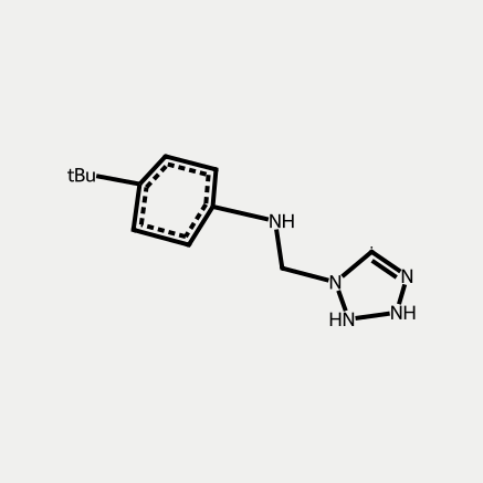 CC(C)(C)c1ccc(NCN2[C]=NNN2)cc1